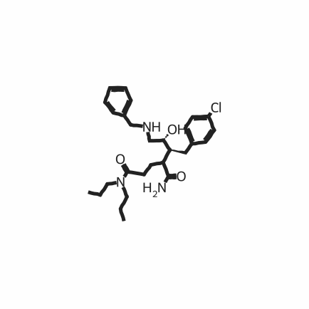 CCCN(CCC)C(=O)CCC(C(N)=O)[C@H](Cc1ccc(Cl)cc1)[C@@H](O)CNCc1ccccc1